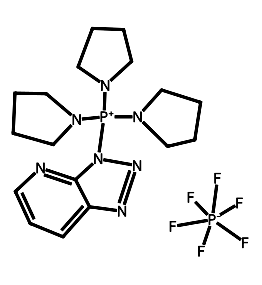 F[P-](F)(F)(F)(F)F.c1cnc2c(c1)nnn2[P+](N1CCCC1)(N1CCCC1)N1CCCC1